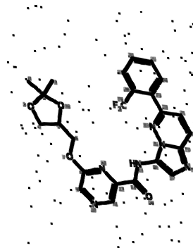 CC1(C)OCC(COc2cncc(C(=O)Nc3cnc4ccc(-c5ccccc5C(F)(F)F)nn34)n2)O1